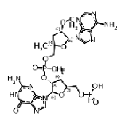 CO[C@@H]1C[C@](C)(COP(=O)(O)O[C@@H]2[C@H](F)[C@@H](CO[PH](=O)O)O[C@H]2n2cnc3c(=O)[nH]c(N)nc32)O[C@H]1n1cnc2c(N)ncnc21